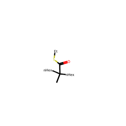 CCCCCCC(C)(CCCCCC)C(=O)SCC